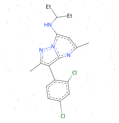 CCC(CC)Nc1cc(C)nc2c(-c3ccc(Cl)cc3Cl)c(C)nn12